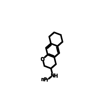 CCCNC1COc2cc3c(cc2C1)CCCC3